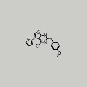 COc1ccc(Cc2nc(Cl)c3c(-c4cccs4)csc3n2)cc1